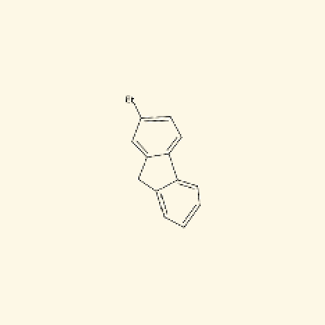 CCc1ccc2c(c1)Cc1ccccc1-2